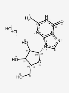 Cl.Cl.Nc1nc2c(ncn2[C@@H]2O[C@H](CO)C(O)C2O)c(=O)[nH]1